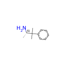 C[C@H](N)C(C)(C)c1ccccc1